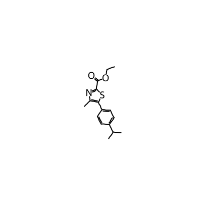 CCOC(=O)c1nc(C)c(-c2ccc(C(C)C)cc2)s1